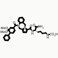 COC1(OC)C=C(C(=O)N2Cc3ccc(C(=O)N[C@@H](CCCCNC(=O)O)C(N)=O)n3Cc3ccccc32)C=CC1c1ccccc1